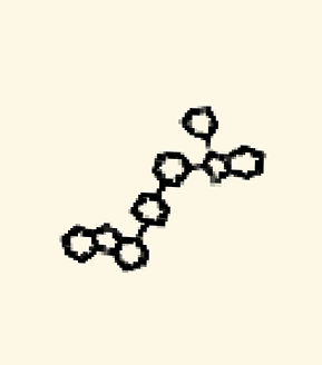 c1ccc(-c2c(-c3cccc(-c4ccc(-c5cccc6c5sc5ccccc56)cc4)c3)nc3ccccn23)cc1